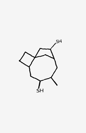 CC1CC2CC3(CCC3CC1S)CC2S